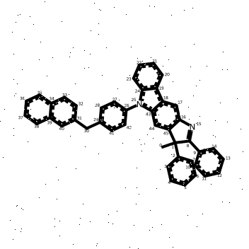 CC1(c2ccccc2)C(c2ccccc2)=Nc2cc3c4ccccc4n(-c4ccc(Cc5ccc6ccccc6c5)cc4)c3cc21